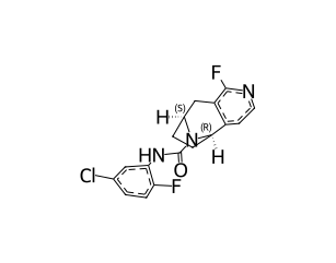 O=C(Nc1cc(Cl)ccc1F)N1[C@H]2CC[C@@H]1c1ccnc(F)c1C2